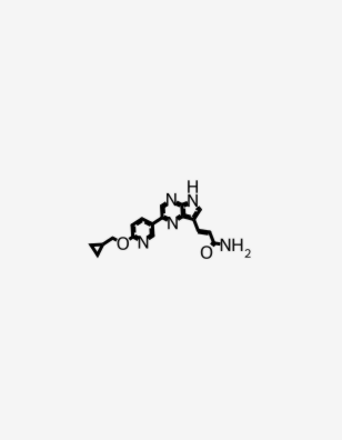 NC(=O)C=Cc1c[nH]c2ncc(-c3ccc(OCC4CC4)nc3)nc12